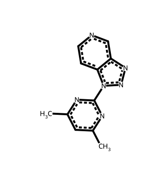 Cc1cc(C)nc(-n2nnc3cnccc32)n1